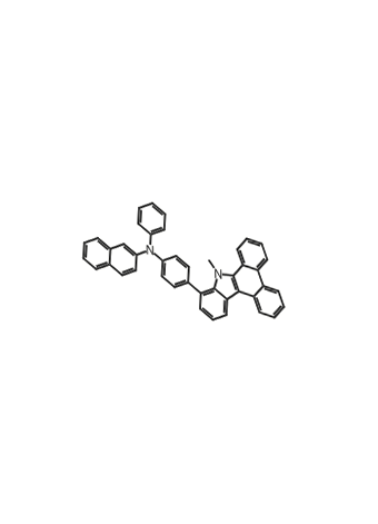 Cn1c2c(-c3ccc(N(c4ccccc4)c4ccc5ccccc5c4)cc3)cccc2c2c3ccccc3c3ccccc3c21